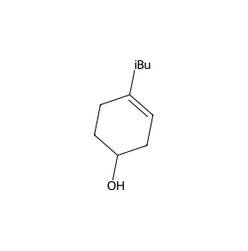 CCC(C)C1=CCC(O)CC1